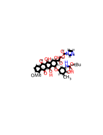 COc1cccc2c1C(=O)c1c(O)c3c(c(O)c1C2=O)C[C@@](O)(C(=O)COC(=O)n1ccnc1)CC3OC1C[C@@H](C)[C@@H](O)[C@@H](NC(=O)OC(C)(C)C)C1